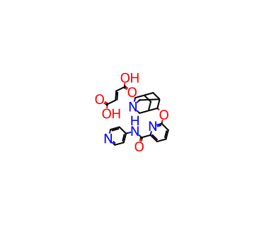 O=C(Nc1ccncc1)c1cccc(OC2C3CC4CC2CN(C4)C3)n1.O=C(O)C=CC(=O)O